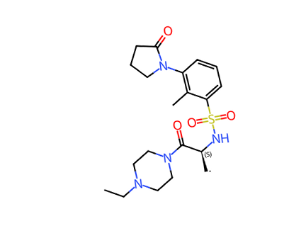 [CH2][C@H](NS(=O)(=O)c1cccc(N2CCCC2=O)c1C)C(=O)N1CCN(CC)CC1